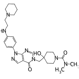 CN(C)C(=O)N1CCC(O)(Cn2cnc3c(cnn3-c3ccc(NCCN4CCCCC4)cc3)c2=O)CC1